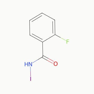 O=C(NI)c1ccccc1F